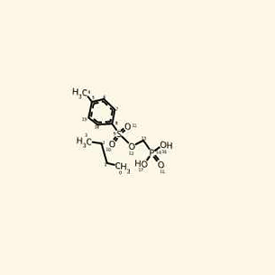 CCCC.Cc1ccc(S(=O)(=O)OCP(=O)(O)O)cc1